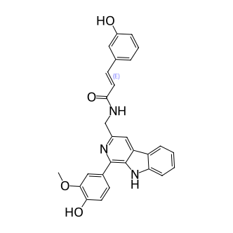 COc1cc(-c2nc(CNC(=O)/C=C/c3cccc(O)c3)cc3c2[nH]c2ccccc23)ccc1O